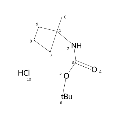 CC1(NC(=O)OC(C)(C)C)CCC1.Cl